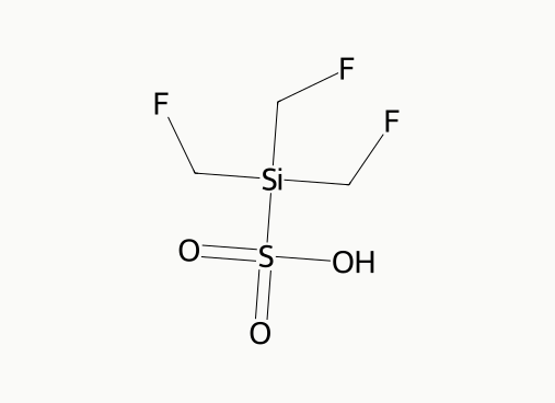 O=S(=O)(O)[Si](CF)(CF)CF